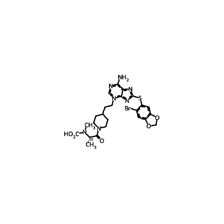 C[C@@H](C(=O)N1CCC(CCn2cnc(N)c3nc(Sc4cc5c(cc4Br)OCO5)nc2-3)CC1)N(C)C(=O)O